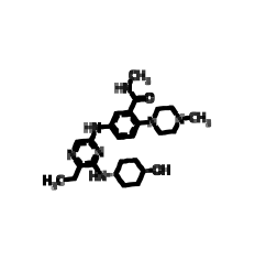 CCc1ncc(Nc2ccc(N3CCN(C)CC3)c(C(=O)NC)c2)nc1N[C@H]1CC[C@H](O)CC1